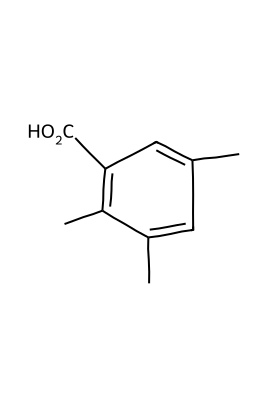 Cc1cc(C)c(C)c(C(=O)O)c1